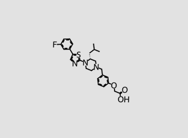 CC(C)C[C@@H]1CN(Cc2cccc(OCC(=O)O)c2)CCN1c1ncc(-c2cccc(F)c2)s1